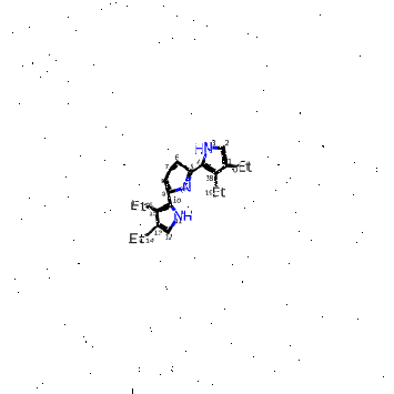 CCc1c[nH]c(-c2cccc(-c3[nH]cc(CC)c3CC)n2)c1CC